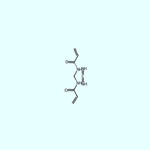 C=CC(=O)NCNC(=O)C=C.N=C=N